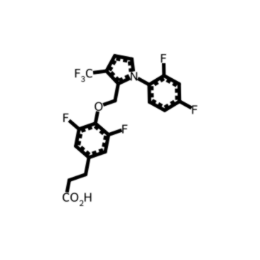 O=C(O)CCc1cc(F)c(OCc2c(C(F)(F)F)ccn2-c2ccc(F)cc2F)c(F)c1